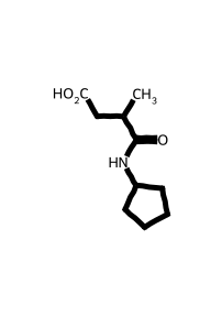 CC(CC(=O)O)C(=O)NC1CCCC1